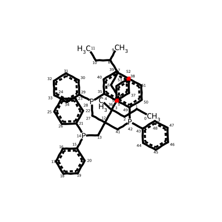 CCCC(C)(OCCC(C)CC)C(CP(c1ccccc1)c1ccccc1)(CP(c1ccccc1)c1ccccc1)CP(c1ccccc1)c1ccccc1